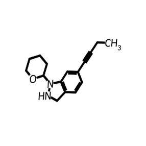 CCC#Cc1ccc2c(c1)N(C1CCCCO1)NC2